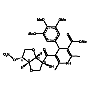 COC(=O)C1=C(C)NC(C)=C(C(=O)[C@]2(O)CO[C@@H]3[C@H](O[N+](=O)[O-])CO[C@@H]32)C1c1cc(OC)c(OC)c(OC)c1